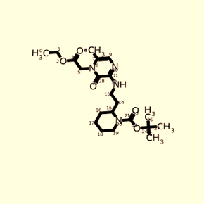 CCOC(=O)Cn1c(C)cnc(NCCC2CCCCN2C(=O)OC(C)(C)C)c1=O